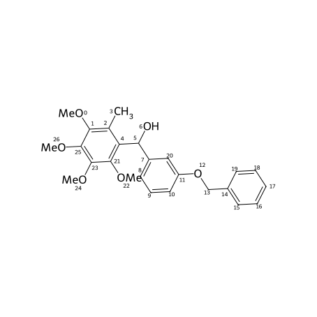 COc1c(C)c(C(O)c2cccc(OCc3ccccc3)c2)c(OC)c(OC)c1OC